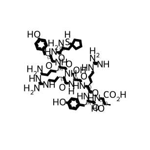 C[C@@H](O)[C@H](NC(=O)[C@H](Cc1ccc(O)cc1)NC(=O)[C@H](CCCNC(=N)N)NC(=O)[C@H](CO)NC(=O)[C@H](CCCNC(=N)N)NC(=O)[C@H](CCCCN)NC(=O)[C@H](Cc1ccc(O)cc1)NC(=O)[C@@H](N)CC1(S)CCCC1)C(=O)O